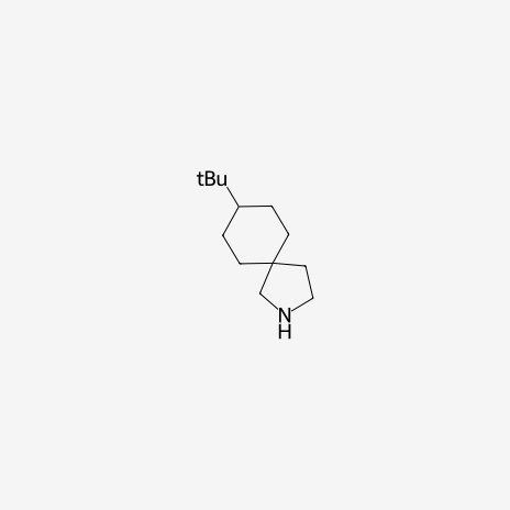 CC(C)(C)C1CCC2(CCNC2)CC1